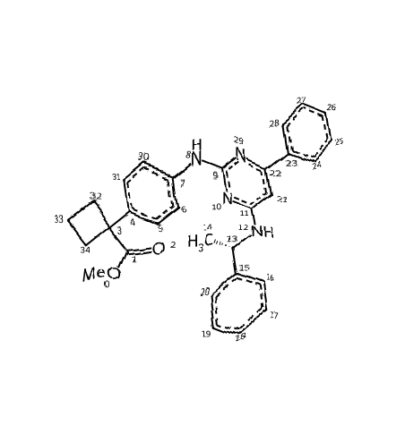 COC(=O)C1(c2ccc(Nc3nc(N[C@@H](C)c4ccccc4)cc(-c4ccccc4)n3)cc2)CCC1